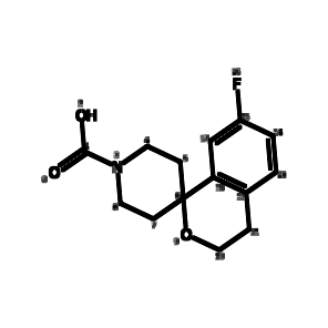 O=C(O)N1CCC2(CC1)OCCc1ccc(F)cc12